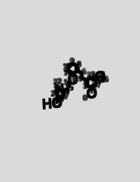 COc1cc(CCc2ccccc2OCC[C@@H]2C[C@@H](O)CN2C)cc(OC)c1